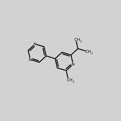 Cc1cc(-c2cncnc2)cc(C(C)C)n1